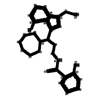 O=C(NCCC(c1cn(CO)c2cccc(Br)c12)C1CCCCCC1)c1ccccc1O